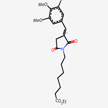 CCOC(=O)CCCCCCN1C(=O)C/C(=C\c2cc(OC)c(OC)c(OC)c2)C1=O